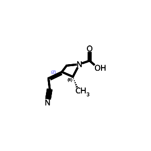 C[C@@H]1/C(=C\C#N)CN1C(=O)O